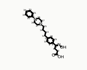 O=C(O)CCC(=NO)c1ccc(CCCCN2CCN(c3ccccc3)CC2)cc1